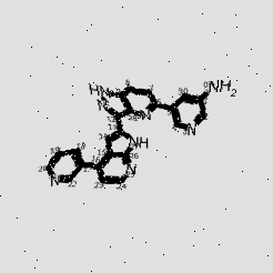 Nc1cncc(-c2ccc3[nH]nc(-c4cc5c(-c6cccnc6)ccnc5[nH]4)c3n2)c1